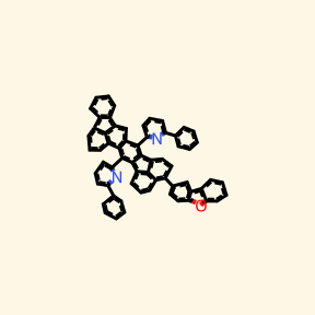 c1ccc(-c2cccc(-c3c4cc5c6ccccc6c6cccc(c4c(-c4cccc(-c7ccccc7)n4)c4c7cccc8c(-c9ccc%10oc%11ccccc%11c%10c9)ccc(c34)c87)c65)n2)cc1